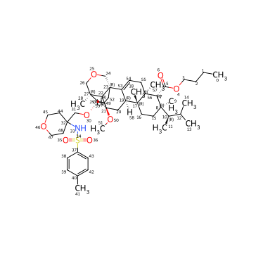 CCCCOC(=O)[C@@H]1[C@@](C)([C@H](C)C(C)C)CC[C@]2(C)[C@H]3CC[C@@H]4[C@@]5(COC[C@]4(C)[C@@H](OCC4(NS(=O)(=O)c6ccc(C)cc6)CCOCC4)[C@H](OC)C5)C3=CC[C@@]12C